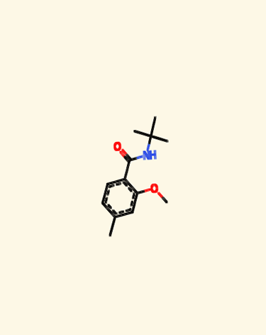 COc1cc(C)ccc1C(=O)NC(C)(C)C